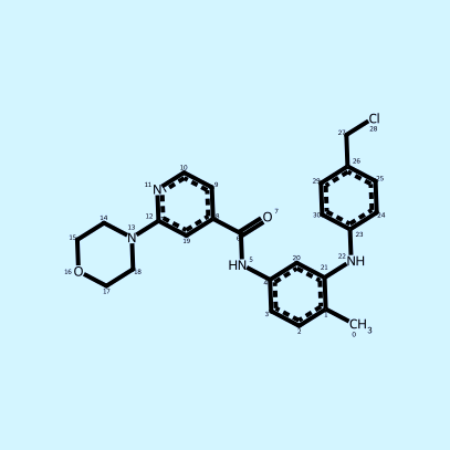 Cc1ccc(NC(=O)c2ccnc(N3CCOCC3)c2)cc1Nc1ccc(CCl)cc1